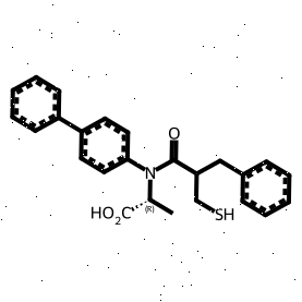 C[C@H](C(=O)O)N(C(=O)C(CS)Cc1ccccc1)c1ccc(-c2ccccc2)cc1